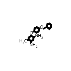 Cc1cc(Oc2ccc(OCc3ccccc3)cc2)c(N)cc1N